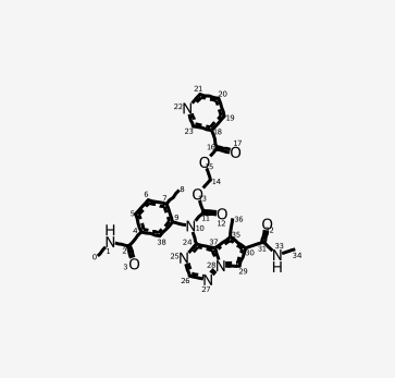 CNC(=O)c1ccc(C)c(N(C(=O)OCOC(=O)c2cccnc2)c2ncnn3cc(C(=O)NC)c(C)c23)c1